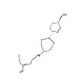 CCCC[C@H]1CC[C@H](C2CCC(CCC=C(F)C#N)CC2)CC1